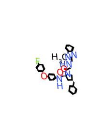 Cn1c(CNCC(=O)N2C[C@H](Cc3ccccc3)C[C@H]2C(=O)Nc2ccc(Oc3ccc(F)cc3)cc2)nc2ccccc21